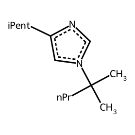 CCCC(C)c1cn(C(C)(C)CCC)cn1